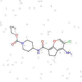 CCOC(=O)N1CCC(NC(=O)C2=C3OC=C(Cl)C(N)=C3CC2)CC1